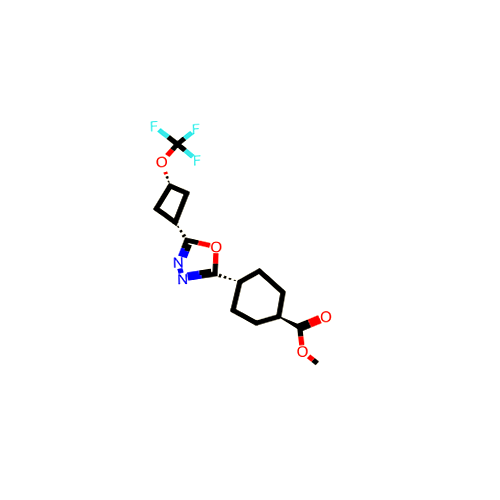 COC(=O)[C@H]1CC[C@H](c2nnc([C@H]3C[C@@H](OC(F)(F)F)C3)o2)CC1